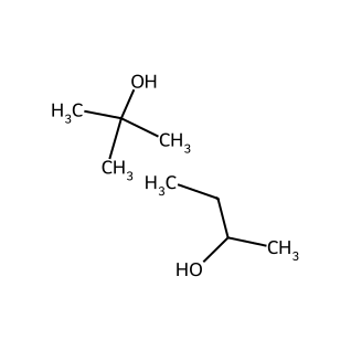 CC(C)(C)O.CCC(C)O